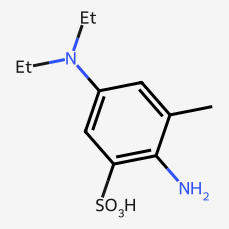 CCN(CC)c1cc(C)c(N)c(S(=O)(=O)O)c1